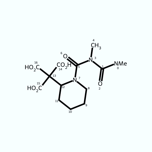 CNC(=O)N(C)C(=O)N1CCCCC1C(C(=O)O)(C(=O)O)C(=O)O